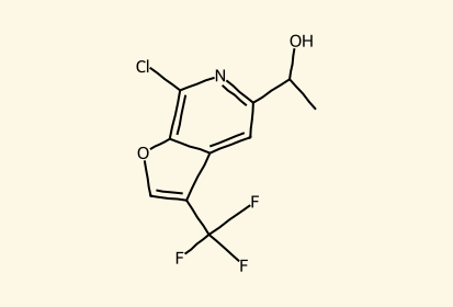 CC(O)c1cc2c(C(F)(F)F)coc2c(Cl)n1